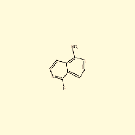 O=[N+]([O-])c1cccc2c(F)nccc12